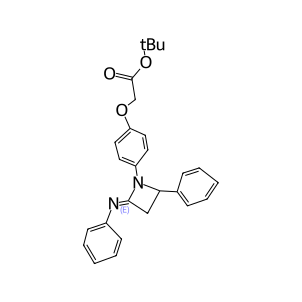 CC(C)(C)OC(=O)COc1ccc(N2/C(=N/c3ccccc3)CC2c2ccccc2)cc1